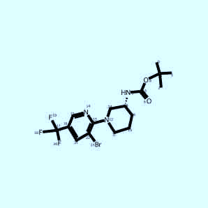 CC(C)(C)OC(=O)N[C@@H]1CCCN(c2ncc(C(F)(F)F)cc2Br)C1